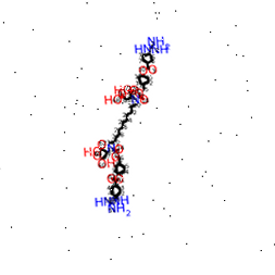 N=C(N)Nc1ccc(C(=O)Oc2ccc(COC(=O)N(CCCCCCCCCCCCN(C(=O)OCc3ccc(OC(=O)c4ccc(NC(=N)N)cc4)cc3)C(CC(=O)O)C(=O)O)C(CC(=O)O)C(=O)O)cc2)cc1